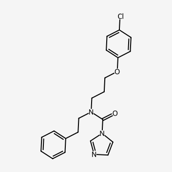 O=C(N(CCCOc1ccc(Cl)cc1)CCc1ccccc1)n1ccnc1